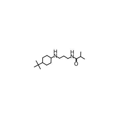 CC(C)C(=O)NCCCNC1CCC(C(C)(C)C)CC1